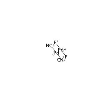 N#[C][Pd][C]#N.[F][Pd][F]